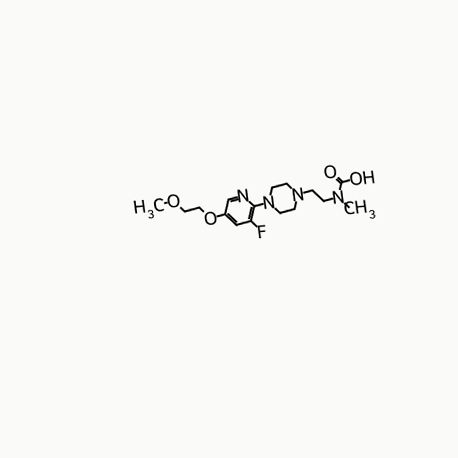 COCCOc1cnc(N2CCN(CCN(C)C(=O)O)CC2)c(F)c1